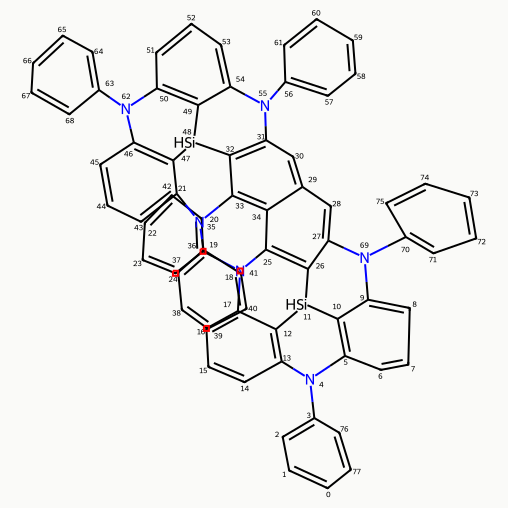 c1ccc(N2c3cccc4c3[SiH]3c5c2cccc5N(c2ccccc2)c2c3c(cc3cc5c6c(c23)N(c2ccccc2)c2cccc3c2[SiH]6c2c(cccc2N5c2ccccc2)N3c2ccccc2)N4c2ccccc2)cc1